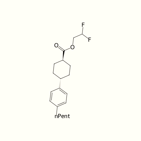 CCCCCc1ccc([C@H]2CC[C@H](C(=O)OCC(F)F)CC2)cc1